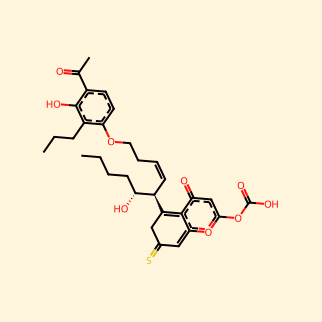 CCCC[C@@H](O)[C@@H](/C=C\CCOc1ccc(C(C)=O)c(O)c1CCC)C1=c2c(=O)cc(OC(=O)O)oc2=CC(=S)C1